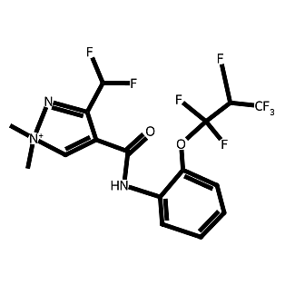 C[N+]1(C)C=C(C(=O)Nc2ccccc2OC(F)(F)C(F)C(F)(F)F)C(C(F)F)=N1